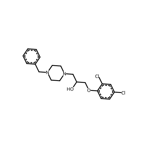 OC(COc1ccc(Cl)cc1Cl)CN1CCN(Cc2ccccc2)CC1